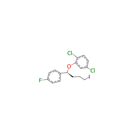 Fc1ccc([C@H](CCCI)Oc2cc(Cl)ccc2Cl)cc1